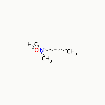 C=CC(=O)N(CCC)CCCCCCCCCC